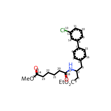 CCOC(=O)CC(Cc1ccc(-c2cccc(Cl)c2)cc1)NC(=O)CCCCC(=O)OC